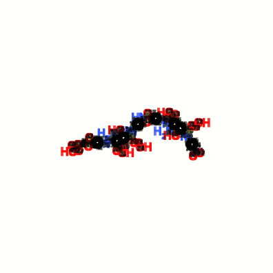 Nc1c(/N=N/c2ccc(S(=O)(=O)Nc3ccc(/N=N/c4c(SOOO)cc5c(S(=O)(=O)O)cc(/N=N/c6ccc(S(=O)(=O)CCOS(=O)(=O)O)cc6)c(N)c5c4O)cc3)cc2)c(S(=O)(=O)O)cc2cc(SOOO)c(/N=N/c3ccc([N+](=O)[O-])cc3)c(O)c12